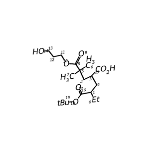 CCC(CC(CC(C)(C)C(=O)OCCCO)C(=O)O)C(=O)OC(C)(C)C